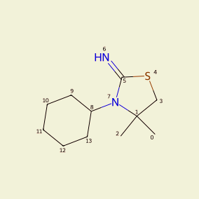 CC1(C)CSC(=N)N1C1CCCCC1